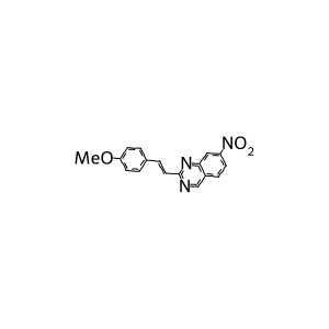 COc1ccc(C=Cc2ncc3ccc([N+](=O)[O-])cc3n2)cc1